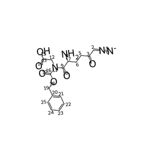 [N-]=[N+]=CC(=O)CC[C@H](N)C(=O)N(CC(=O)O)C(=O)OCc1ccccc1